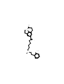 COc1ccccc1CCN(C)CCCCCC(=O)c1cc2c3c(c1)CCN3C(=O)CC2